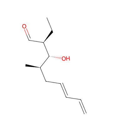 C=C/C=C/C[C@@H](C)[C@@H](O)[C@@H](C=O)CC